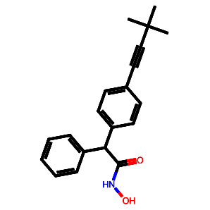 CC(C)(C)C#Cc1ccc(C(C(=O)NO)c2ccccc2)cc1